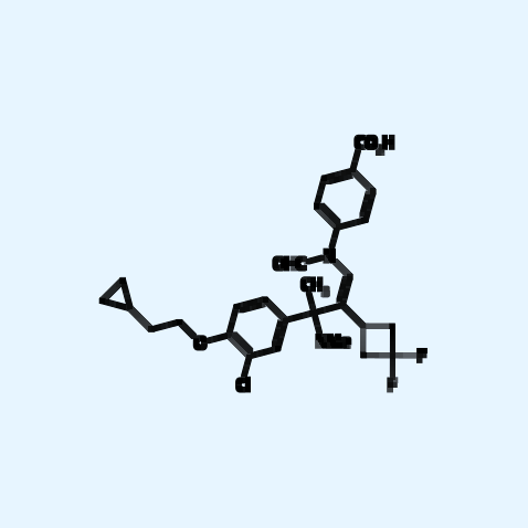 CNC(C)(/C(=C\N(C=O)c1ccc(C(=O)O)cc1)C1CC(F)(F)C1)c1ccc(OCCC2CC2)c(Cl)c1